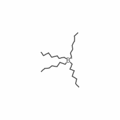 CCCCCCC[B-](CCCCCCC)(CCCCCCC)CCCCCCC